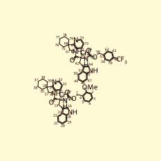 COc1ccccc1COC(=O)N[C@@](C)(Cc1c[nH]c2ccccc12)C(=O)NCC1(c2ccccn2)CCCCC1.C[C@@](Cc1c[nH]c2ccccc12)(NC(=O)OCc1ccc(C(F)(F)F)cc1)C(=O)NCC1(c2ccccn2)CCCCC1